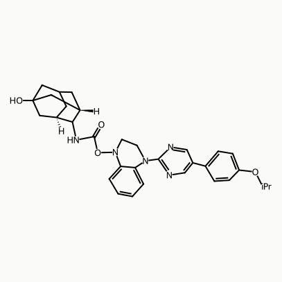 CC(C)Oc1ccc(-c2cnc(N3CCN(OC(=O)NC4[C@@H]5CC6C[C@H]4CC(O)(C6)C5)c4ccccc43)nc2)cc1